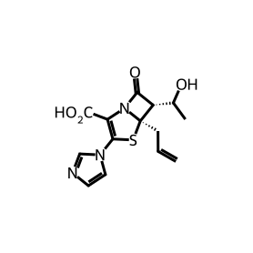 C=CC[C@]12SC(n3ccnc3)=C(C(=O)O)N1C(=O)[C@@H]2C(C)O